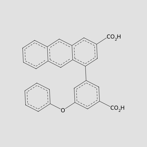 O=C(O)c1cc(Oc2ccccc2)cc(-c2cc(C(=O)O)cc3cc4ccccc4cc23)c1